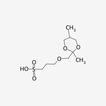 CC1COC(C)(COCCCS(=O)(=O)O)OC1